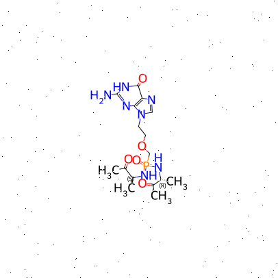 CC(=O)[C@H](C)NP(=O)(COCCn1cnc2c(=O)[nH]c(N)nc21)N[C@H](C)C(C)=O